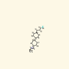 CC/C=C/C1CCC(C2CCC(CCCF)CC2)CC1